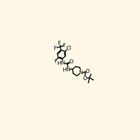 CC(C)(C)OC(=O)N1CCC(NC(=O)Nc2cc(Cl)c(C(F)(F)F)cc2I)CC1